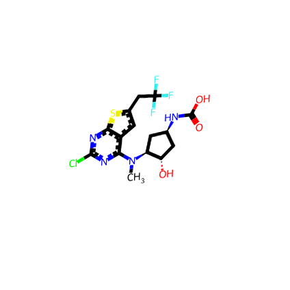 CN(c1nc(Cl)nc2sc(CC(F)(F)F)cc12)[C@H]1C[C@@H](NC(=O)O)C[C@@H]1O